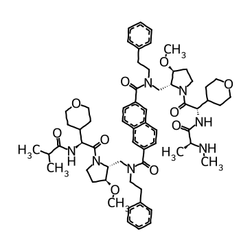 CN[C@@H](C)C(=O)N[C@H](C(=O)N1CC[C@H](OC)[C@H]1CN(CCc1ccccc1)C(=O)c1ccc2cc(C(=O)N(CCc3ccccc3)C[C@@H]3[C@@H](OC)CCN3C(=O)[C@@H](NC(=O)C(C)C)C3CCOCC3)ccc2c1)C1CCOCC1